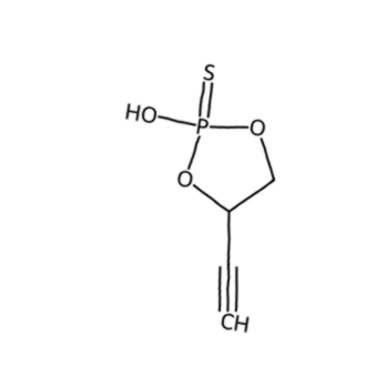 C#CC1COP(O)(=S)O1